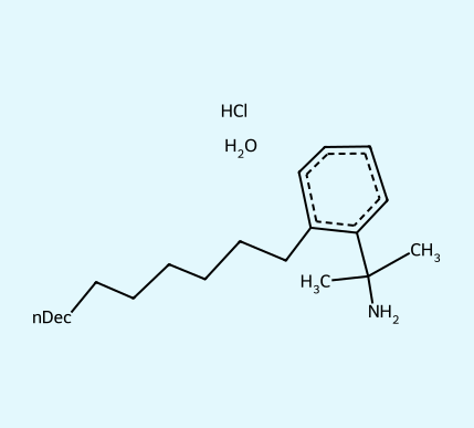 CCCCCCCCCCCCCCCCc1ccccc1C(C)(C)N.Cl.O